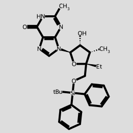 CC[C@@]1(CO[Si](c2ccccc2)(c2ccccc2)C(C)(C)C)O[C@@H](n2cnc3c(=O)[nH]c(C)nc32)[C@H](O)[C@@H]1C